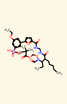 CCCCCC(C(=O)NCNC(=O)c1ccc(-c2cc(OCC)cc(P(=O)(O)O)c2)o1)C(CC)N(C=O)OCOC(=O)C(C)(C)C